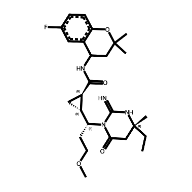 CC[C@]1(C)CC(=O)N([C@H](CCOC)[C@@H]2C[C@H]2C(=O)NC2CC(C)(C)Oc3ccc(F)cc32)C(=N)N1